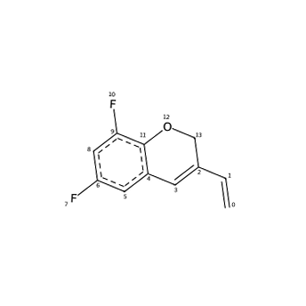 C=CC1=Cc2cc(F)cc(F)c2OC1